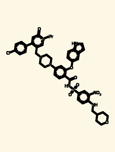 CC(C)n1cc(CN2CCN(c3ccc(C(=O)NS(=O)(=O)c4ccc(NCC5CCOCC5)c([N+](=O)[O-])c4)c(Oc4ccc5[nH]ccc5c4)c3)CC2)c(-c2ccc(Cl)cc2)cc1=O